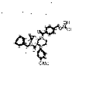 COc1ccc(N2CCN(C(=O)c3ccc(CON(O)O)cc3)C[C@@H]2C(=O)N(Cc2ccccc2)C2CC2)cc1